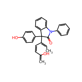 C=C(O)/C=C\C(=C/C)C1(c2ccc(O)cc2)C(=O)N(c2ccccc2)c2ccccc21